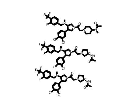 CC(=O)N(C)C1CCN(CC(=O)N2CC(c3ccc(Cl)c(Cl)c3)C(N(C)Cc3ccc(C(F)(F)F)c(F)c3)C2)CC1.CC(=O)N[C@@H]1CCN(CC(=O)N2CC(c3ccc(Cl)c(Cl)c3)C(N(C)Cc3ccc(C(F)(F)F)c(F)c3)C2)C1.CC(=O)N[C@H]1CCN(CC(=O)N2CC(c3ccc(Cl)c(Cl)c3)C(N(C)Cc3ccc(C(F)(F)F)c(F)c3)C2)C1